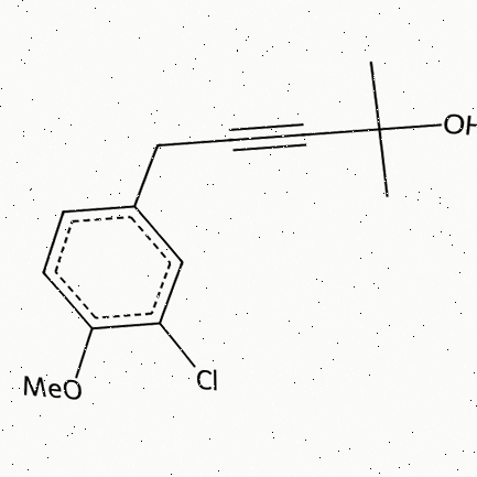 COc1ccc(CC#CC(C)(C)O)cc1Cl